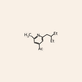 CCC(CC)Cc1cc(C(C)=O)cc(C)n1